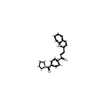 O=C(C=Cc1ccc2ccccc2n1)c1ccc(C(=O)N2CCCC2)cc1